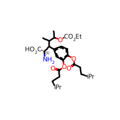 CCOC(=O)OC(C)C(C)C(c1ccc(OC(=O)CCC(C)C)c(OC(=O)CCC(C)C)c1)[C@H](N)C(=O)O